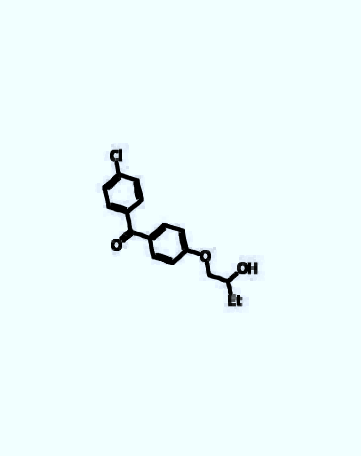 CCC(O)COc1ccc(C(=O)c2ccc(Cl)cc2)cc1